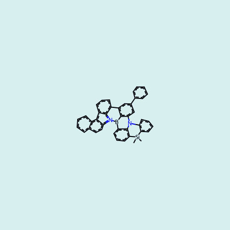 C[Si]1(C)c2ccccc2N2c3cc(-c4ccccc4)cc4c3B(c3cccc1c32)n1c2ccc3ccccc3c2c2cccc-4c21